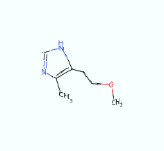 COCCc1[nH][c]nc1C